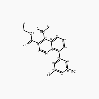 CCOC(=O)c1cnc2c(-c3cc(Cl)cc(Cl)c3)cccc2c1N(C)C